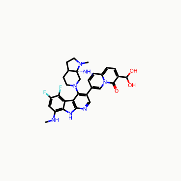 CNc1cc(F)c(F)c2c1[nH]c1ncc(-c3ccc4ccc(C(O)O)c(=O)n4c3)c(N3CCC4CCN(C)[C@@]4(N)C3)c12